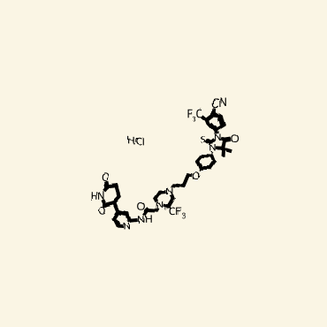 CC1(C)C(=O)N(c2ccc(C#N)c(C(F)(F)F)c2)C(=S)N1[C@H]1CC[C@H](OCCCN2CCN(CC(=O)Nc3cc(C4CCC(=O)NC4=O)ccn3)[C@@H](C(F)(F)F)C2)CC1.Cl